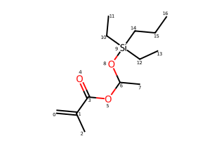 C=C(C)C(=O)OC(C)O[Si](CC)(CC)CCC